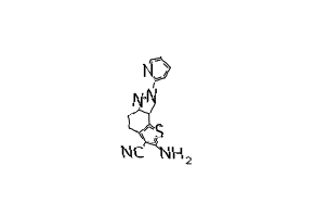 N#Cc1c(N)sc2c1CCC1=NN(c3ccccn3)CC12